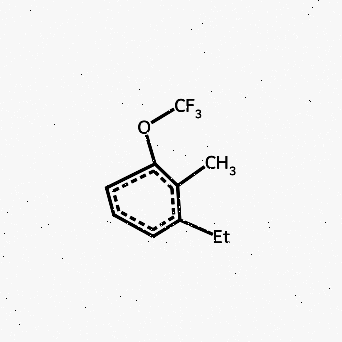 CCc1cccc(OC(F)(F)F)c1C